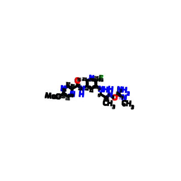 C/N=C(/N)ON[C@H](C)CNc1cc(NC(=O)c2cnc(OC)cn2)cnc1F